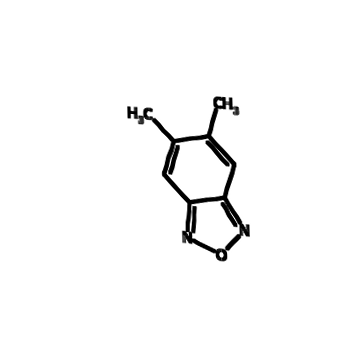 Cc1cc2nonc2cc1C